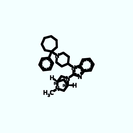 CN1C[C@@H]2C[C@H]1CN2c1nc2ccccc2n1C1CCN(C2(c3ccccc3)CCCCCC2)CC1